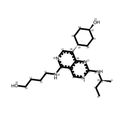 CC[C@H](C)Nc1ncc2c(NCCCCO)ncc([C@H]3CC[C@H](O)CC3)c2n1